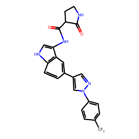 O=C1NCCC1C(=O)Nc1c[nH]c2ccc(-c3cnn(-c4ccc(C(F)(F)F)cc4)c3)cc12